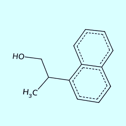 CC(CO)c1cccc2ccccc12